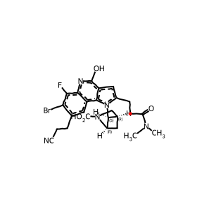 CN(C)C(=O)CCc1cc2c(O)nc3c(F)c(Br)c(CCC#N)cc3c2n1[C@H]1[C@@H]2C[C@H]1N(C(=O)O)C2